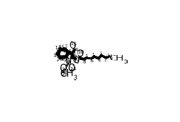 CCCCCCCCCC(=O)Oc1c(C=O)c2ccccc2n1C(=O)OC